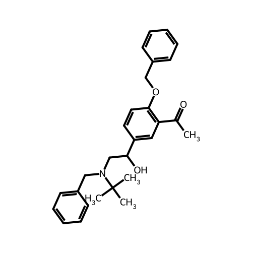 CC(=O)c1cc(C(O)CN(Cc2ccccc2)C(C)(C)C)ccc1OCc1ccccc1